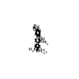 COc1cccc(N2CCN(c3ccc(C(C)(C)C)cc3)CC2(C)C)c1